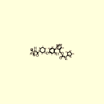 CCc1cc(O[C@H]2CCC[C@H](C(=O)NS(C)(=O)=O)C2)ccc1-n1nncc1COC(=O)N(C)C1CCCC1